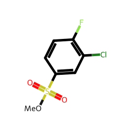 COS(=O)(=O)c1ccc(F)c(Cl)c1